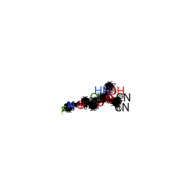 Cc1c(OCCCN2CCC(F)CC2)cccc1-c1cccc2c1CC[C@@H]2Oc1cc(OCc2cc(C#N)cc(C#N)c2)c(CN[C@@H]2CCC[C@@H]2O)cc1Cl